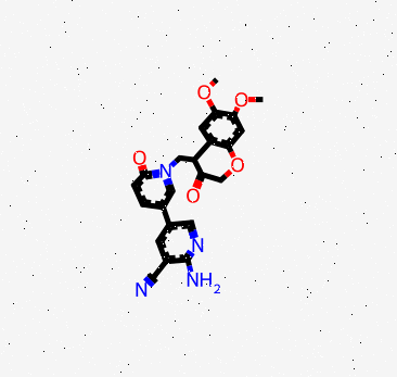 COc1cc2c(cc1OC)C(Cn1cc(-c3cnc(N)c(C#N)c3)ccc1=O)C(=O)CO2